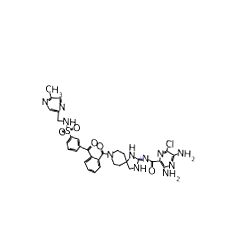 Cc1cnc(CNS(=O)(=O)c2cccc(C(=O)c3ccccc3C(=O)N3CCC4(CC3)CN/C(=N\C(=O)c3nc(Cl)c(N)nc3N)N4)c2)cn1